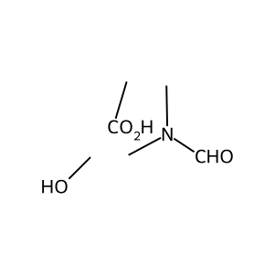 CC(=O)O.CN(C)C=O.CO